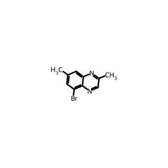 Cc1cc(Br)c2ncc(C)nc2c1